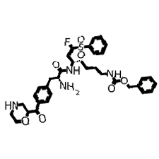 N[C@@H](Cc1ccc(C(=O)C2CNCCO2)cc1)C(=O)N[C@H](C=C(F)S(=O)(=O)c1ccccc1)CCCCNC(=O)OCc1ccccc1